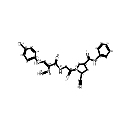 N#CC1CC(C(=O)Nc2ccccc2)CN1C(=O)CNC(=O)/C(=C/Nc1ccc(Cl)cc1)N=N